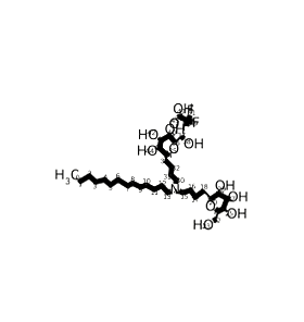 CCCCCCCCCCCCCCN(CCCC[C@@H]1O[C@H](CO)[C@@H](O)[C@H](O)[C@H]1O)CCCC[C@@H]1O[C@H](CO)[C@@H](O)[C@H](O)[C@H]1O.O=C(O)C(F)(F)F